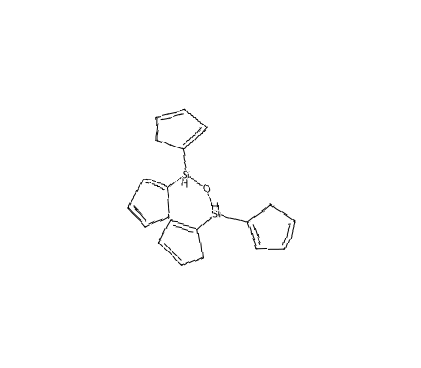 C1=CCC([SiH](O[SiH](C2=CC=CC2)C2=CC=CC2)C2=CC=CC2)=C1